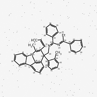 C/C=C\C1=C(C)n2c3ccccc3c3cccc(c32)C1(C/N=C(\N=C(/CC)C1=CC=CCC=C1)c1ccccc1)c1ccccc1C